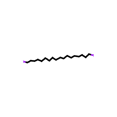 ICCCCCCCCCCCCCCCCCCI